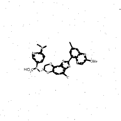 COc1cnc2c(-c3nc4c(Cl)cc5c(c4s3)OC[C@@H](CN(C(=O)O)c3ccc(N(C)C)nc3)O5)cc(C)cc2n1